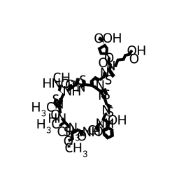 CNC(=O)C[C@@H]1NC(=O)c2csc(n2)-c2ccc(-c3nc(N(CCCCC(=O)O)C(=O)O[C@H]4CC[C@H](C(=O)O)C4)cs3)nc2-c2csc(n2)-c2csc(n2)[C@H]([C@@H](O)c2ccccc2)NC(=O)CNC(=O)c2nc(sc2COC)C(C(C)C)NC(=O)c2nc1sc2C